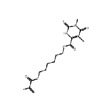 C=C(C)C(=O)OCCCCCCOC(=O)c1[nH]c(=S)n(C)c(=O)c1C